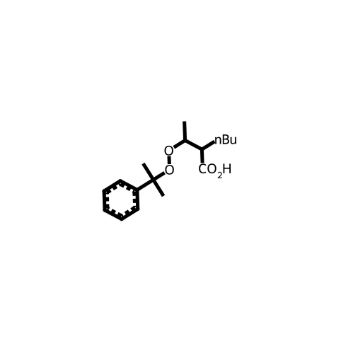 CCCCC(C(=O)O)C(C)OOC(C)(C)c1ccccc1